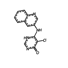 O=c1nc[nH]c(Nc2cnc3ccccc3c2)c1Cl